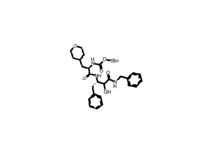 CC(C)(C)OC(=O)NC(CC1CCOCC1)C(=O)N[C@@H](Cc1ccccc1)C(O)C(=O)NCc1ccccc1